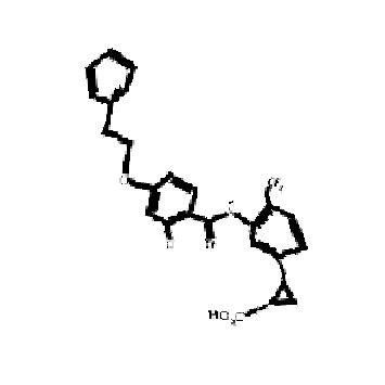 O=C(Nc1cc([C@H]2C[C@H]2C(=O)O)ccc1C(F)(F)F)c1ccc(OCCc2ccccc2)cc1Cl